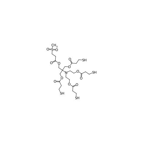 CS(=O)(=O)CCC(=O)OCC(COC(=O)CCS)(COC(=O)CCS)N(CCOC(=O)CCS)CCOC(=O)CCS